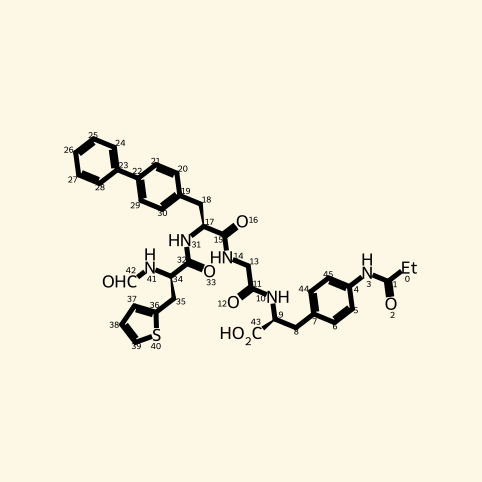 CCC(=O)Nc1ccc(C[C@H](NC(=O)CNC(=O)[C@H](Cc2ccc(-c3ccccc3)cc2)NC(=O)[C@@H](Cc2cccs2)NC=O)C(=O)O)cc1